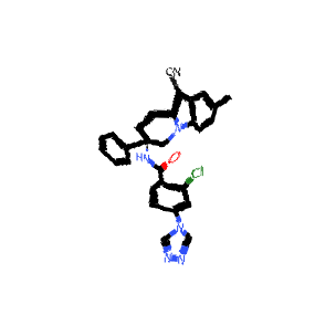 Cc1ccc2c(c1)c(C#N)c1n2C[C@@](NC(=O)c2ccc(-n3cnnc3)cc2Cl)(c2ccccc2)CC1